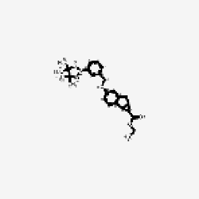 CCOC(=O)C1C2Cc3cc(OCc4cccc(B5OC(C)(C)C(C)(C)O5)c4)ccc3C21